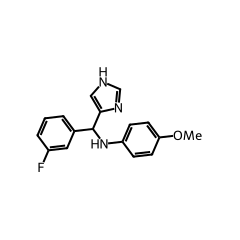 COc1ccc(NC(c2cccc(F)c2)c2c[nH]cn2)cc1